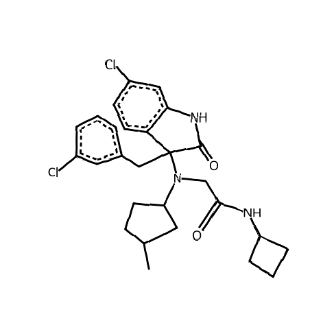 CC1CCC(N(CC(=O)NC2CCC2)C2(Cc3cccc(Cl)c3)C(=O)Nc3cc(Cl)ccc32)C1